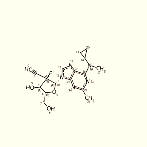 C#C[C@@]1(F)[C@H](O)[C@@H](CO)O[C@H]1n1cnc2c(N(C)C3CC3)nc(C)nc21